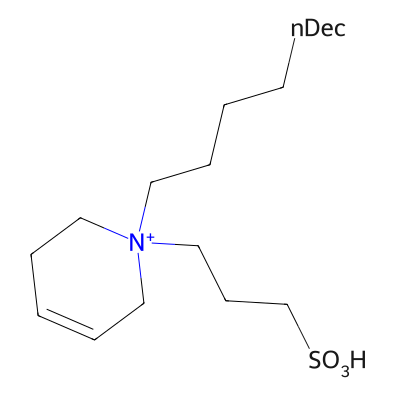 CCCCCCCCCCCCCC[N+]1(CCCS(=O)(=O)O)CC=CCC1